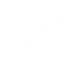 CC(C)N1CCN(C(=O)C2(c3ccccc3)CCCC2)CC1